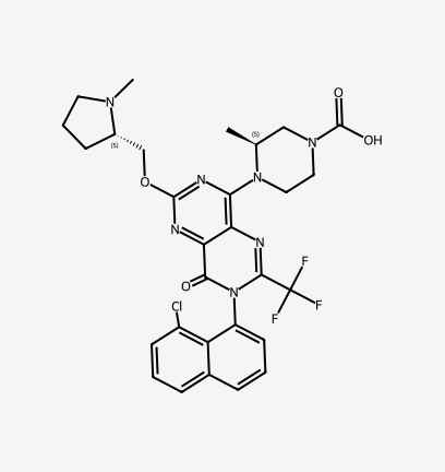 C[C@H]1CN(C(=O)O)CCN1c1nc(OC[C@@H]2CCCN2C)nc2c(=O)n(-c3cccc4cccc(Cl)c34)c(C(F)(F)F)nc12